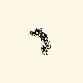 CCCc1[nH]ncc1-c1nc2c(OC3CCN(C(=O)c4oc(CC)nc4C)C3)ncnc2n1C